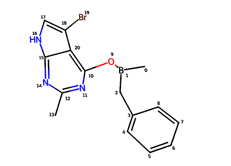 CB(Cc1ccccc1)Oc1nc(C)nc2[nH]cc(Br)c12